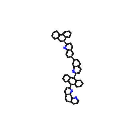 c1ccc2c(c1)cc(-c1ccc3cc(-c4ccc5ccc(-c6c7ccccc7c(-c7ccc8ccc9cccnc9c8n7)c7ccccc67)nc5c4)ccc3n1)c1ccccc12